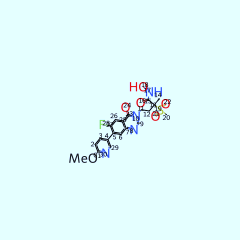 COc1ccc(-c2cc3ncn(CC[C@](C)(C(=O)NO)S(C)(=O)=O)c(=O)c3cc2F)cn1